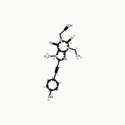 C#CCn1c(=O)c2c(nc(C#Cc3ccc(O)cc3)n2C)n(CC)c1=O